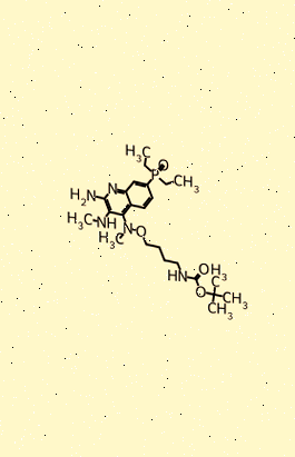 CCP(=O)(CC)c1ccc2c(N(C)OCCCCNC(=O)OC(C)(C)C)c(NC)c(N)nc2c1